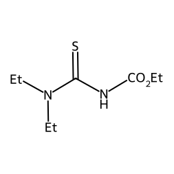 CCOC(=O)NC(=S)N(CC)CC